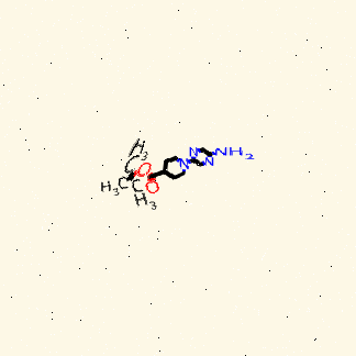 CC(C)(C)OC(=O)C1CCN(c2cnc(N)cn2)CC1